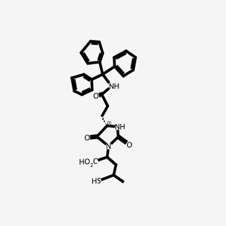 CC(S)CC(C(=O)O)N1C(=O)N[C@@H](CCC(=O)NC(c2ccccc2)(c2ccccc2)c2ccccc2)C1=O